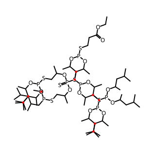 CCOC(=O)CCSP(OC(C)CSP(OC(C)CSP(OC(C)CC(C)C)OC(C)CC(C)C)OC(C)CSP(OC(C)CC(C)C)OC(C)CC(C)C)OC(C)CSP(=S)(OC(C)CSP(CC(C)CC(C)C)OC)OC(C)CSP(OC(C)CC(C)C)OC(C)CC(C)C